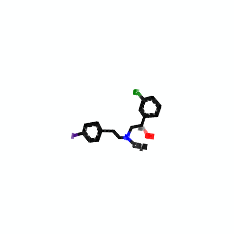 O=C(O)N(CCc1ccc(I)cc1)C[C@@H](O)c1cccc(Cl)c1